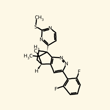 CSc1nccc([C@]23CC[C@@H](c4cc(-c5c(F)cccc5F)nnc42)C3(C)C)n1